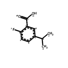 CC(C)c1ccc(F)c(C(=O)O)c1